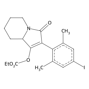 CCOC(=O)OC1=C(c2c(C)cc(I)cc2C)C(=O)N2CCCCC12